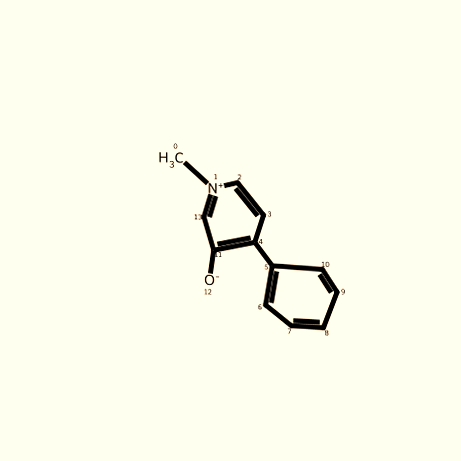 C[n+]1ccc(-c2ccccc2)c([O-])c1